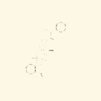 CC1(C)S[C@@H]2[C@H](NC(=O)C(N)c3ccc(O)cc3)C(=O)N2[C@]1(C(=O)O)C1OC(=O)c2ccccc21